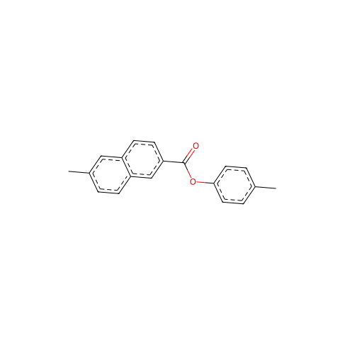 Cc1ccc(OC(=O)c2ccc3cc(C)ccc3c2)cc1